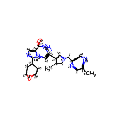 Cc1cnc(CN2CC(C)C(c3cn4c(C5CCOCC5)ncc4c(=O)[nH]3)C2)cn1